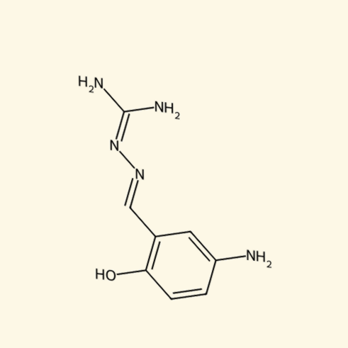 NC(N)=NN=Cc1cc(N)ccc1O